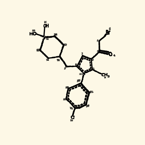 Cc1c(C(=O)CBr)cc(CC2CCS(O)(O)CC2)n1-c1ccc(Cl)cc1